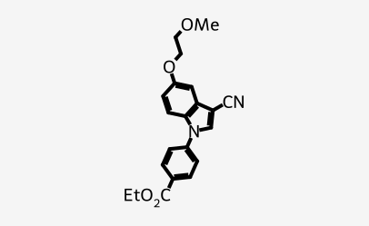 CCOC(=O)c1ccc(-n2cc(C#N)c3cc(OCCOC)ccc32)cc1